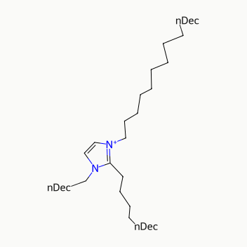 CCCCCCCCCCCCCCCCCCC[n+]1ccn(CCCCCCCCCCC)c1CCCCCCCCCCCCCC